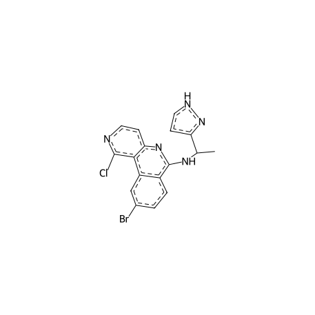 CC(Nc1nc2ccnc(Cl)c2c2cc(Br)ccc12)c1cc[nH]n1